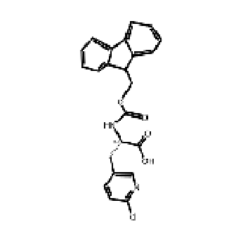 O=C(N[C@@H](Cc1ccc(Cl)nc1)C(=O)O)OCC1c2ccccc2-c2ccccc21